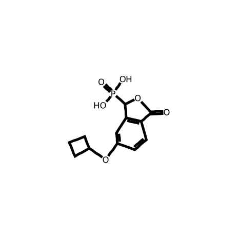 O=C1OC(P(=O)(O)O)c2cc(OC3CCC3)ccc21